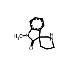 CN1C(=O)C2(CCCNC2)c2ccccc21